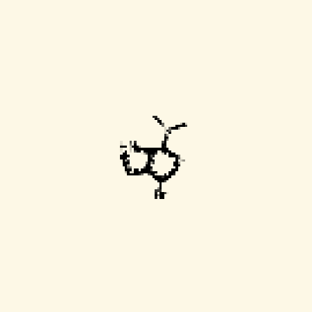 CN(C)c1ncc(Br)c2cc[nH]c12